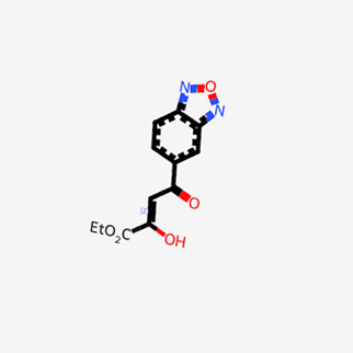 CCOC(=O)/C(O)=C/C(=O)c1ccc2nonc2c1